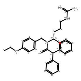 CCOc1ccc(CN(C(=O)C(c2ccccc2)c2ccccc2)[C@H](CCCNC(=N)N)C(N)=O)cc1